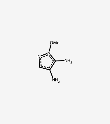 COn1ncc(N)c1N